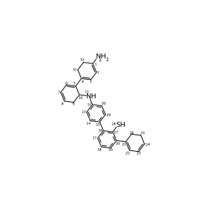 NC1=CC=C(C2=CC=CCC2Nc2ccc(-c3cccc(C4=CC=CCC4)c3S)cc2)CC1